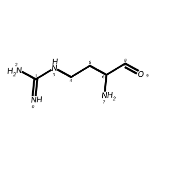 N=C(N)NCCC(N)[C]=O